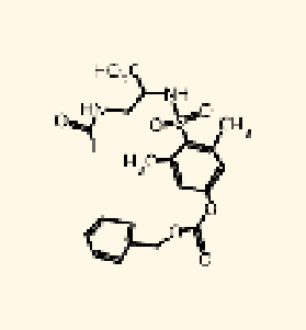 Cc1cc(OC(=O)OCc2ccccc2)cc(C)c1S(=O)(=O)NC(CNC(=O)I)C(=O)O